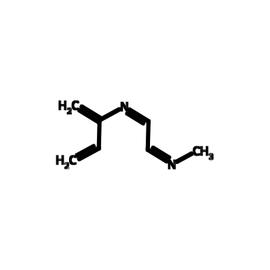 C=CC(=C)/N=C\C=N/C